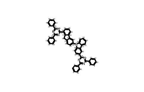 c1ccc(-c2nc(-c3ccccc3)nc(-c3ccc4c(c3)c3ccccc3n4-c3ccc4c(c3)-c3cccc(-c5nc(-c6ccccc6)nc(-c6ccccc6)n5)c3C4)n2)cc1